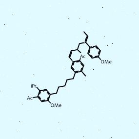 C/C=C(\CC(C)/C=C\c1cc(CCCCCc2cc(C(C)C)c(C(C)=O)cc2OC)c(C)cc1C(C)=O)c1ccc(OC)cc1